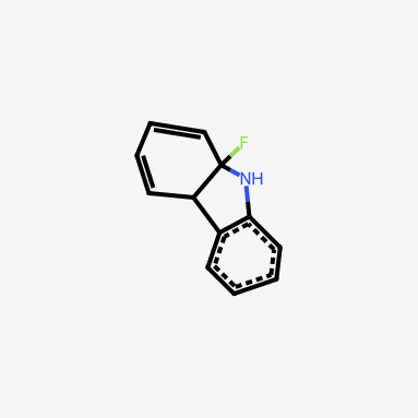 FC12C=CC=CC1c1ccccc1N2